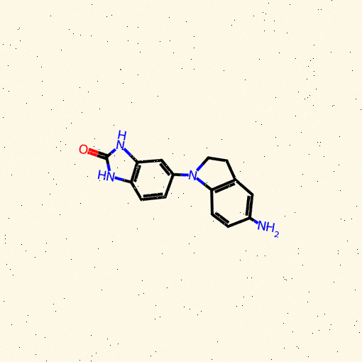 Nc1ccc2c(c1)CCN2c1ccc2[nH]c(=O)[nH]c2c1